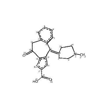 CN1CCC(=C2c3ccccc3CC(=O)c3sc(C(=O)O)cc32)CC1